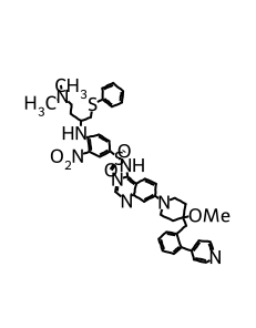 COC1(Cc2ccccc2-c2ccncc2)CCN(c2ccc3c(NS(=O)(=O)c4ccc(NC(CCN(C)C)CSc5ccccc5)c([N+](=O)[O-])c4)ncnc3c2)CC1